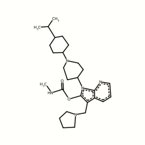 CNC(=O)Oc1c(CN2CCCC2)c2cccnc2n1C1CCN(C2CCC(C(C)C)CC2)CC1